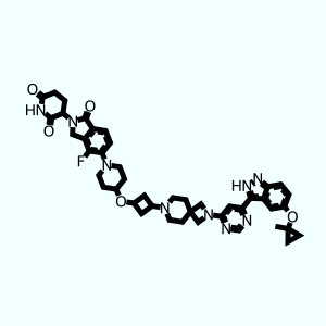 CC1(Oc2ccc3n[nH]c(-c4cc(N5CC6(CCN(C7CC(OC8CCN(c9ccc%10c(c9F)CN(C9CCC(=O)NC9=O)C%10=O)CC8)C7)CC6)C5)ncn4)c3c2)CC1